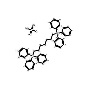 O=S(=O)([O-])[O-].c1ccc([P+](CCCCCCC[P+](c2ccccc2)(c2ccccc2)c2ccccc2)(c2ccccc2)c2ccccc2)cc1